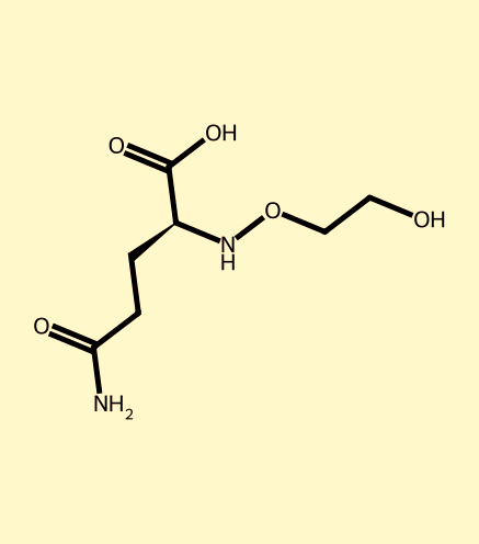 NC(=O)CC[C@H](NOCCO)C(=O)O